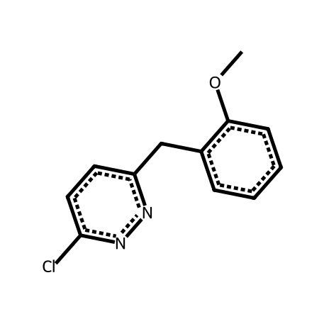 COc1ccccc1Cc1ccc(Cl)nn1